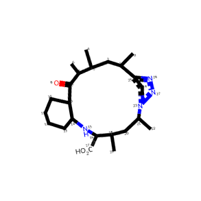 CC1CC(C)C(C)C(=O)C2CCCCC2NC(C(=O)O)C(C)CC(C)n2cc1nn2